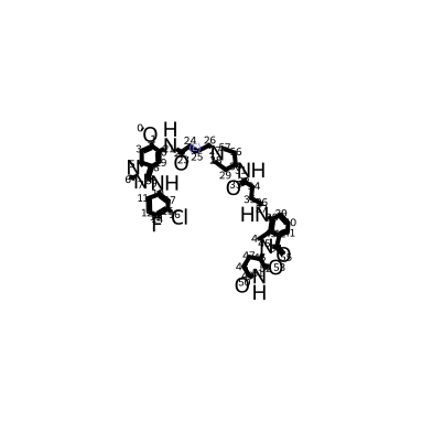 COc1cc2ncnc(Nc3ccc(F)c(Cl)c3)c2cc1NC(=O)/C=C/CN1CCC(NC(=O)CCCNc2cccc3c2CN(C2CCC(=O)NC2=O)C3=O)CC1